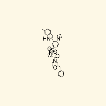 Cc1ccc2cc(-c3cc(S(=O)(=O)N4CC[C@H]4C(=O)N4CCOC(Cc5ccccc5)C4)ccc3N3CCC3)[nH]c2c1